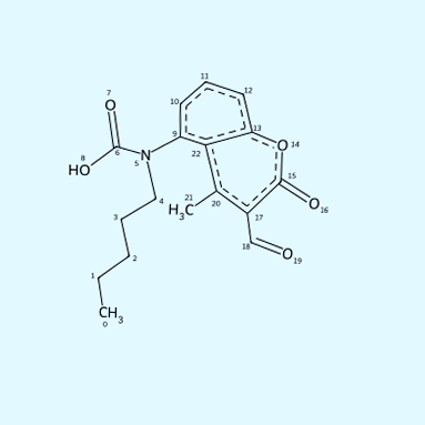 CCCCCN(C(=O)O)c1cccc2oc(=O)c(C=O)c(C)c12